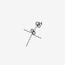 CCCCCCCCCCC(CCCCCCC)(CCCCCCC)OC(=O)CCCCC(=O)O